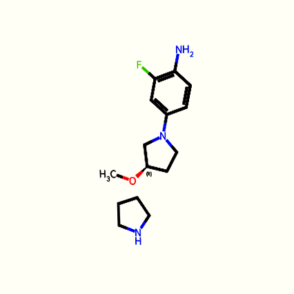 C1CCNC1.CO[C@@H]1CCN(c2ccc(N)c(F)c2)C1